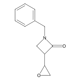 O=C1C(C2CO2)CN1Cc1ccccc1